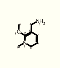 COC1=C(CN)C=CCN1C